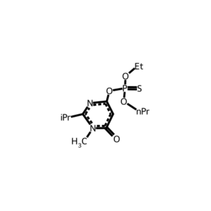 CCCOP(=S)(OCC)Oc1cc(=O)n(C)c(C(C)C)n1